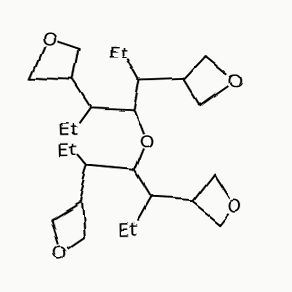 CCC(C1COC1)C(OC(C(CC)C1COC1)C(CC)C1COC1)C(CC)C1COC1